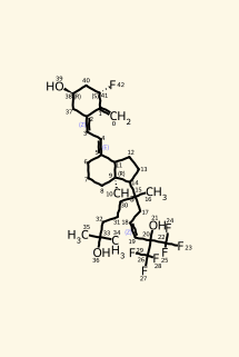 C=C1/C(=C\C=C2/CCC[C@@]3(C)C2CCC3C(C)(C/C=C\C(O)(C(F)(F)F)C(F)(F)F)CCCC(C)(C)O)C[C@@H](O)C[C@@H]1F